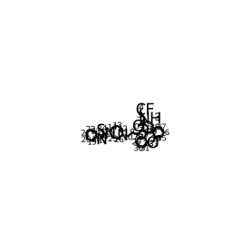 O=C(NCC(F)(F)F)OC1(CCCCN2CCCN(c3nc4ccccc4s3)CC2)c2ccccc2Oc2ccccc21